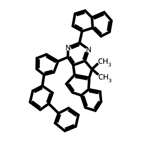 CC1(C)c2nc(-c3cccc4ccccc34)nc(-c3cccc(-c4cccc(-c5ccccc5)c4)c3)c2-c2ccc3ccccc3c21